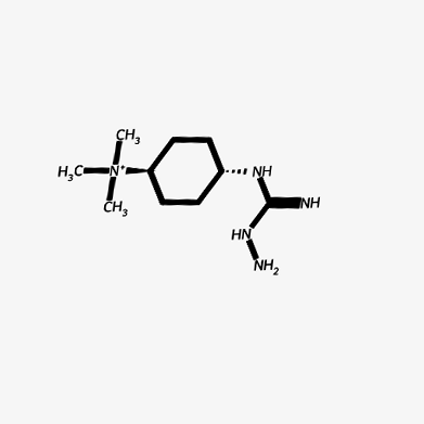 C[N+](C)(C)[C@H]1CC[C@H](NC(=N)NN)CC1